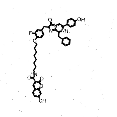 O=C(NCCCCCCCCOc1ccc(Cc2nc3c(Cc4ccccc4)[nH]c(-c4ccc(O)cc4)cn-3c2=O)cc1F)c1cc2ccc(O)cc2oc1=O